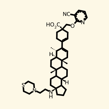 C[C@@H]1C(C2=CC[C@](COc3ncccc3C#N)(C(=O)O)CC2)=CC[C@]2(C)C3CC[C@@H]4C5CCC[C@]5(NCCN5CCSCC5)CCC4[C@]3(C)CC[C@@H]12